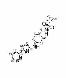 O=S(=O)(NCC1CCC(Nc2nc(-c3ccccn3)cs2)CC1)C1CC1